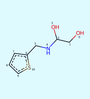 OCC(O)NCc1cccs1